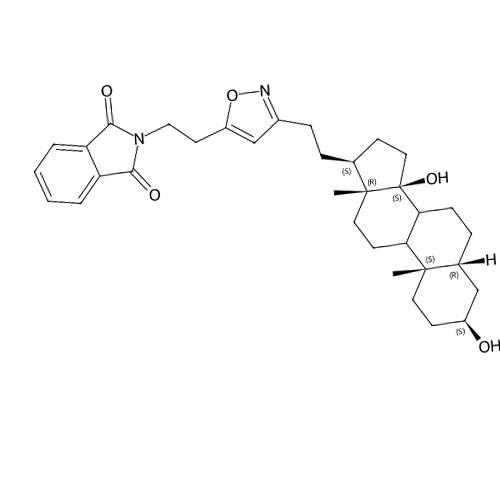 C[C@]12CC[C@H](O)C[C@H]1CCC1C2CC[C@]2(C)[C@@H](CCc3cc(CCN4C(=O)c5ccccc5C4=O)on3)CC[C@]12O